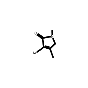 CC(=O)C1=C(C)CN(C)C1=O